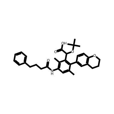 Cc1cc(NC(=O)CCCc2ccccc2)c(C)c(C(OC(C)(C)C)C(=O)O)c1-c1ccc2c(c1)CCCO2